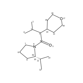 CC(C)C(C(=O)N1CCC[C@H]1C(C)C)C1CCOCC1